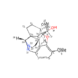 COc1ccc2c3c1O[C@H]1[C@]4(OC)CCC5(C[C@@H]4C(C)(O)C(C)(C)C)[C@@H](C2)NCC[C@]315